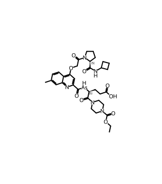 CCOC(=O)N1CCN(C(=O)[C@H](CCC(=O)O)[AsH]C(=O)c2cc(OCC(=O)N3CCC[C@H]3C(=O)NC3CCC3)c3ccc(C)cc3n2)CC1